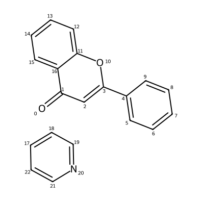 O=c1cc(-c2ccccc2)oc2ccccc12.c1ccncc1